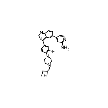 Nc1cc(-c2ccc3ncnc(-c4ccc(N5CCN(CC6COC6)CC5)c(F)c4)c3c2)ccn1